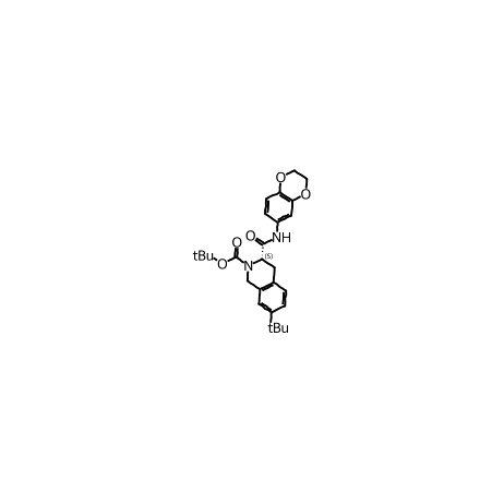 CC(C)(C)OC(=O)N1Cc2cc(C(C)(C)C)ccc2C[C@H]1C(=O)Nc1ccc2c(c1)OCCO2